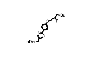 CCCCCCCCCCCc1cnc(-c2ccc(OCCC(F)CC(C)CC)cc2)nc1